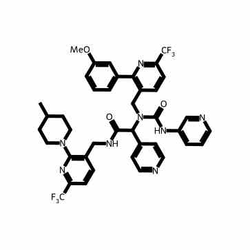 COc1cccc(-c2nc(C(F)(F)F)ccc2CN(C(=O)Nc2cccnc2)C(C(=O)NCc2ccc(C(F)(F)F)nc2N2CCC(C)CC2)c2ccncc2)c1